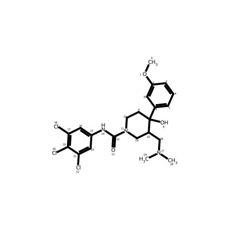 COc1cccc(C2(O)CCN(C(=O)Nc3cc(Cl)c(Cl)c(Cl)c3)CC2CN(C)C)c1